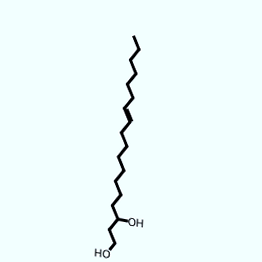 CCCCCCC=CCCCCCCCC(O)CCO